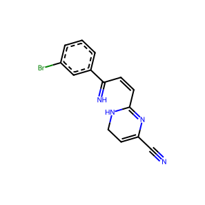 N#CC1=CCNC(/C=C\C(=N)c2cccc(Br)c2)=N1